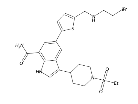 CCS(=O)(=O)N1CCC(c2c[nH]c3c(C(N)=O)cc(-c4ccc(CNCCC(C)C)s4)cc23)CC1